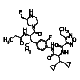 CCC(=O)N[C@@H](C(=O)N1CCN[C@H](CF)C1)[C@@H](C)c1ccc(NC(=O)[C@@H](NC(=O)c2nonc2CC)C(C2CC2)C2CC2)c(F)c1